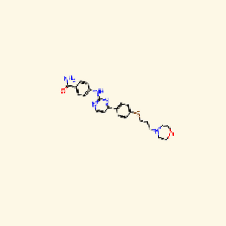 NC(=O)c1ccc(Nc2nccc(-c3ccc(SCCCN4CCOCC4)cc3)n2)cc1